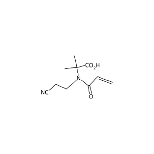 C=CC(=O)N(CCC#N)C(C)(C)C(=O)O